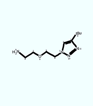 CC(C)(C)c1cn(CCOCCN)nn1